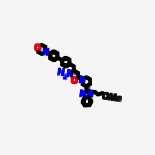 COCCCn1c([C@@H]2CCCN(C(=O)C[C@H](N)Cc3ccc(-c4ccc(N5CCOCC5)cc4)cc3)C2)nc2ccccc21